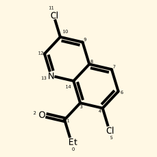 CCC(=O)c1c(Cl)ccc2cc(Cl)cnc12